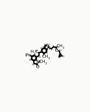 Cc1cc2c(cnn2CCC(C)OCC2CC2)cc1C(C)Cc1cc(C(C)C)cc2c1N(C)C(=O)C2